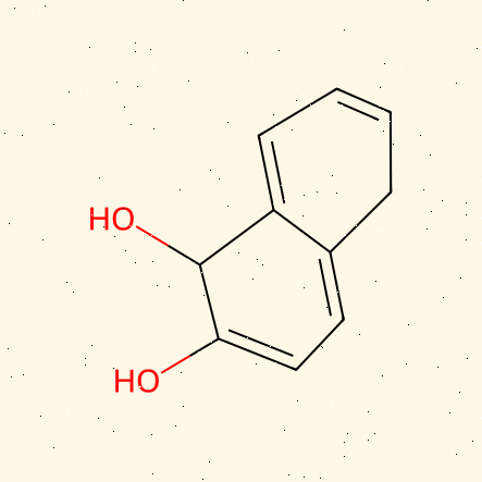 OC1=CC=C2CC=CC=C2C1O